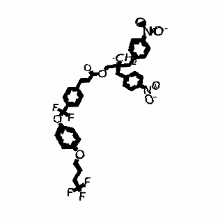 [CH2]C(COC(=O)/C=C/c1ccc(C(F)(F)Oc2ccc(OCCCC(F)(F)F)cc2)cc1)(Cc1ccc([N+](=O)[O-])cc1)Cc1ccc([N+](=O)[O-])cc1